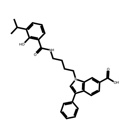 CC(C)c1cccc(C(=O)NCCCCn2cc(-c3ccccc3)c3ccc(C(=O)O)cc32)c1O